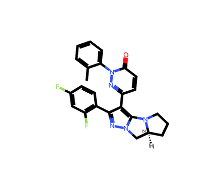 Cc1ccccc1-n1nc(-c2c(-c3ccc(F)cc3F)nn3c2N2CCC[C@H]2C3)ccc1=O